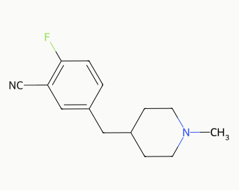 CN1CCC(Cc2ccc(F)c(C#N)c2)CC1